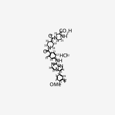 COc1ccc(-c2cnc3c(Nc4ccc(C(=O)N5CCC(C(=O)N6CCN[C@@H](C(=O)O)C6)CC5)c(C)c4)nccn23)cc1F.Cl